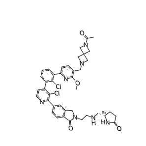 COc1nc(-c2cccc(-c3ccnc(-c4ccc5c(c4)CN(CCNC[C@@H]4CCC(=O)N4)C5=O)c3Cl)c2Cl)ccc1CN1CC2(C1)CN(C(C)=O)C2